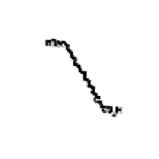 CCCCCCCCCCCCCCCCCCCCCCCCCOCCC(=O)O